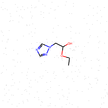 CCOC(O)Cn1cncn1